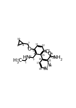 CCNCc1c(OCC2CC2)ccc(Cl)c1-c1ccnnc1C(N)=O